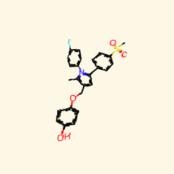 Cc1c(COc2ccc(O)cc2)cc(-c2ccc(S(C)(=O)=O)cc2)n1-c1ccc(F)cc1